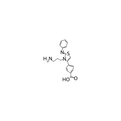 NCCCn1c(-c2ccc(C(=O)O)cc2)csc1=Nc1ccccc1